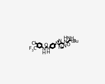 CC(C)(C)C(N)C(=O)Nc1ncnc2c1ncn2-c1ccc(NC(=O)Nc2ccc(Cl)c(C(F)(F)F)c2)cc1